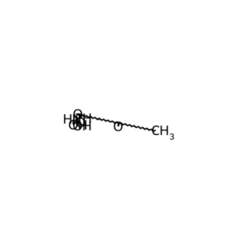 CCCCCCCCCCCCCCCCCC(=O)CCCCCCCCC=CCCCCCCCC(=O)PN[C@@H](CO)C(=O)O